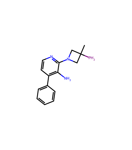 CC1(P)CN(c2nccc(-c3ccccc3)c2N)C1